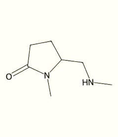 CNCC1CCC(=O)N1C